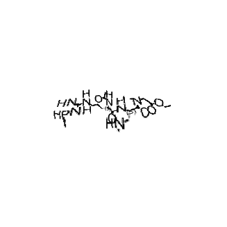 CCOC(=O)CN(C)C(=O)[C@H](CNC)NC(=O)[C@H](CCCNC(=N)NPI)NC(C)=O